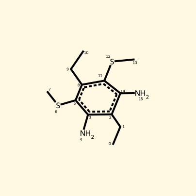 CCc1c(N)c(SC)c(CC)c(SC)c1N